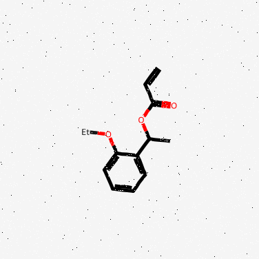 C=CC(=O)OC(C)c1ccccc1OCC